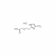 Cc1c[nH]c(CCOCC(=O)O)n1.Cl